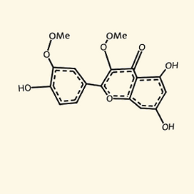 COOc1cc(-c2oc3cc(O)cc(O)c3c(=O)c2OOC)ccc1O